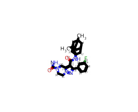 CC12CC3CC(C)(C1)CC(NC(=O)c1c(-c4cccc(F)c4)nn4c1CN(C(N)=O)CC4)(C3)C2